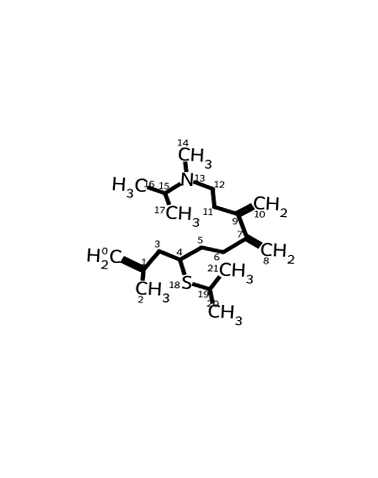 C=C(C)CC(CCC(=C)C(=C)CCN(C)C(C)C)SC(C)C